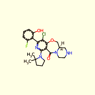 CC1(C)CCCN1c1nc(-c2c(O)cccc2F)c(Cl)c2c1C(=O)N1CCNC[C@@H]1CO2